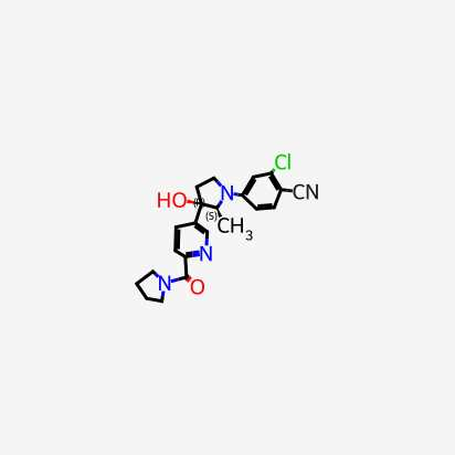 C[C@@H]1N(c2ccc(C#N)c(Cl)c2)CC[C@@]1(O)c1ccc(C(=O)N2CCCC2)nc1